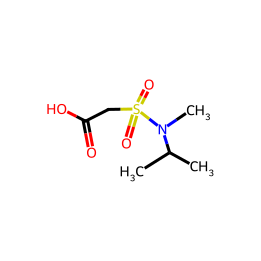 CC(C)N(C)S(=O)(=O)CC(=O)O